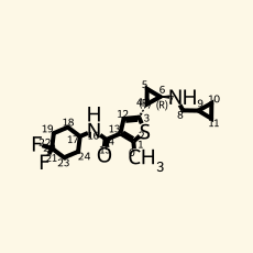 Cc1sc([C@@H]2C[C@H]2NCC2CC2)cc1C(=O)NC1CCC(F)(F)CC1